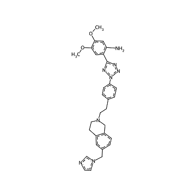 COc1cc(N)c(-c2nnn(-c3ccc(CCN4CCc5cc(Cn6ccnc6)ccc5C4)cc3)n2)cc1OC